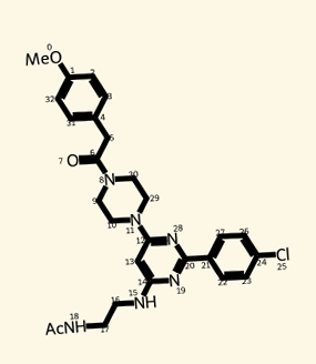 COc1ccc(CC(=O)N2CCN(c3cc(NCCNC(C)=O)nc(-c4ccc(Cl)cc4)n3)CC2)cc1